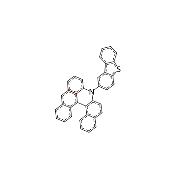 c1ccc(N(c2ccc3sc4ccccc4c3c2)c2ccc3ccccc3c2-c2cccc3ccccc23)cc1